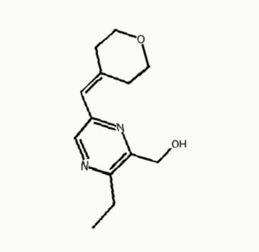 CCc1ncc(C=C2CCOCC2)nc1CO